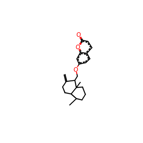 C=C1CCC2C(C)CCCC2(C)C1COc1ccc2ccc(=O)oc2c1